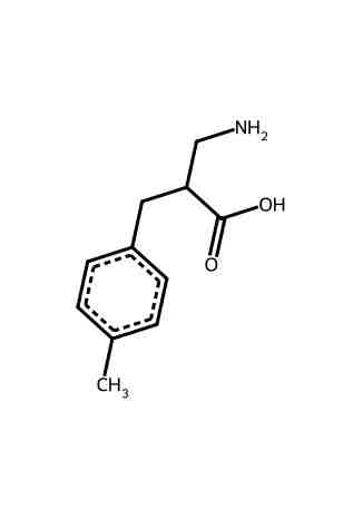 Cc1ccc(CC(CN)C(=O)O)cc1